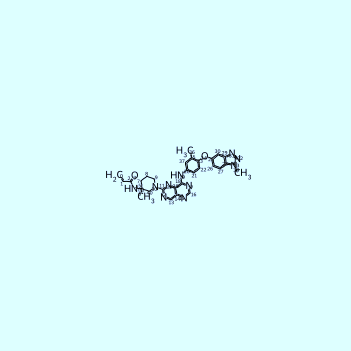 C=CC(=O)N[C@]1(C)CCCN(c2ncc3ncnc(Nc4ccc(Oc5ccc6c(c5)nnn6C)c(C)c4)c3n2)C1